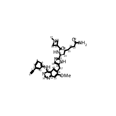 C#Cc1cccc(Nc2ncnc3cc(OC)c(Cc4cnc([C@H](CCCCCC(N)=O)NC(=O)C5CN(C)C5)[nH]4)cc23)c1